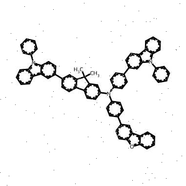 CC1(C)c2cc(-c3ccc4c(c3)c3ccccc3n4-c3ccccc3)ccc2-c2ccc(N(c3ccc(-c4ccc5oc6ccccc6c5c4)cc3)c3ccc(-c4ccc5c6ccccc6n(-c6ccccc6)c5c4)cc3)cc21